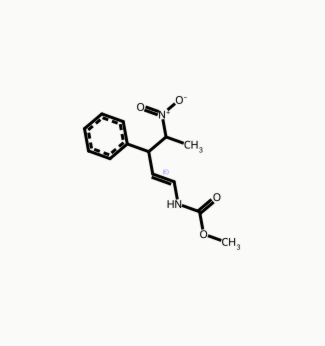 COC(=O)N/C=C/C(c1ccccc1)C(C)[N+](=O)[O-]